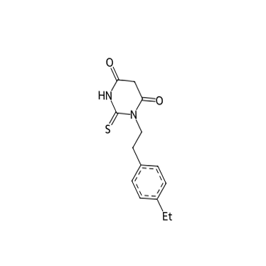 CCc1ccc(CCN2C(=O)CC(=O)NC2=S)cc1